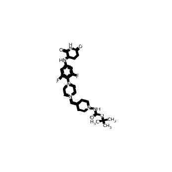 CC(C)(C)OC(=O)NN1CCC(CN2CCN(c3c(F)cc(NC4CCC(=O)NC4=O)cc3F)CC2)CC1